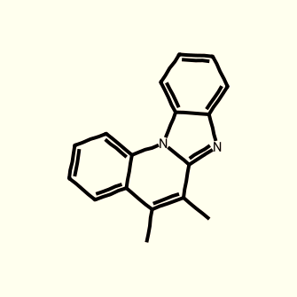 Cc1c(C)c2nc3ccccc3n2c2ccccc12